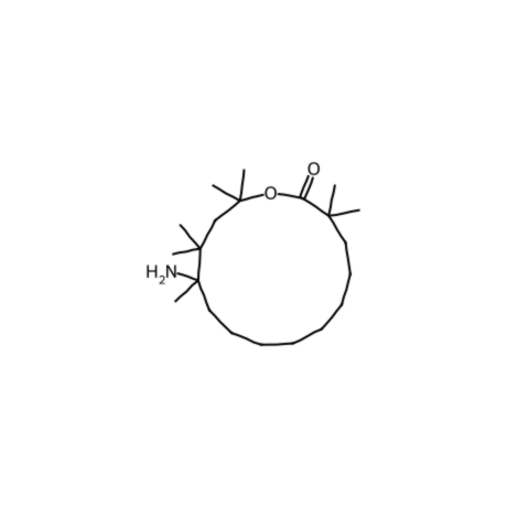 CC1(C)CC(C)(C)C(C)(N)CCCCCCCCC(C)(C)C(=O)O1